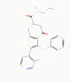 COc1cnccc1-c1[nH]c2c(c1Nc1ccccc1)C(=O)CC(C(=O)N(C)CCN=O)C2